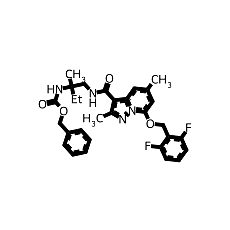 CCC(C)(CNC(=O)c1c(C)nn2c(OCc3c(F)cccc3F)cc(C)cc12)NC(=O)OCc1ccccc1